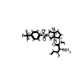 CC[C@H](C)[C@H](N)C(=O)N(C)[C@H]1CC[C@@H]2CN(S(=O)(=O)c3ccc(C(F)(F)F)cc3)C[C@@H]21